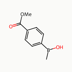 COC(=O)c1ccc(B(C)O)cc1